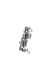 [2H]C([2H])(c1ccnc(N)c1)n1ccc2c(NC(=O)Nc3ccc(C)cc3)cccc21